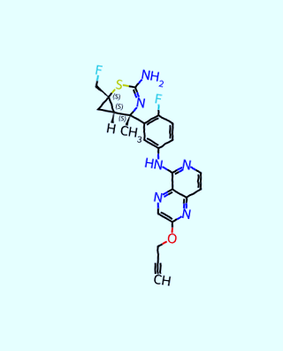 C#CCOc1cnc2c(Nc3ccc(F)c([C@@]4(C)N=C(N)S[C@@]5(CF)C[C@H]54)c3)nccc2n1